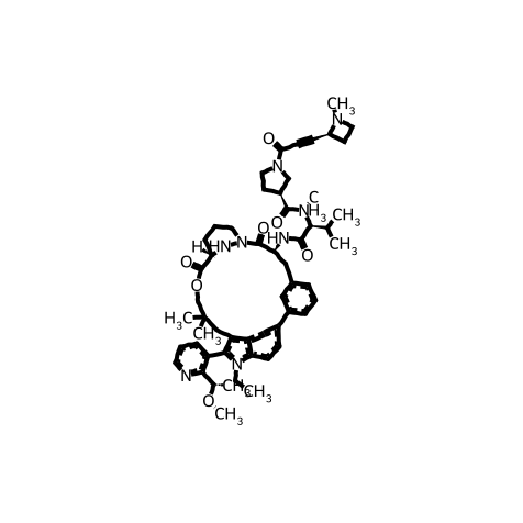 CCn1c(-c2cccnc2[C@H](C)OC)c2c3cc(ccc31)-c1cccc(c1)C[C@H](NC(=O)[C@H](C(C)C)N(C)C(=O)[C@H]1CCN(C(=O)C#C[C@@H]3CCN3C)C1)C(=O)N1CCC[C@H](N1)C(=O)OCC(C)(C)C2